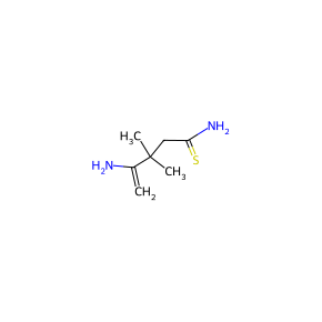 C=C(N)C(C)(C)CC(N)=S